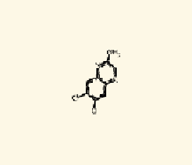 Nc1cnc2cc(Cl)c(Cl)cc2n1